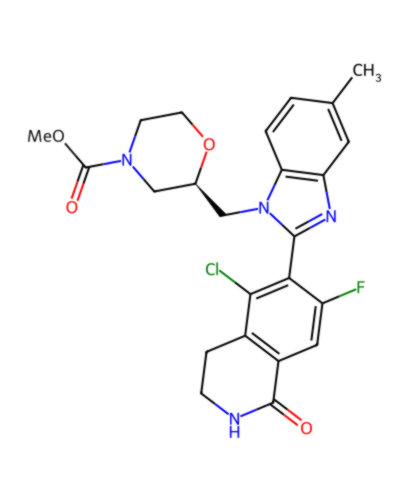 COC(=O)N1CCO[C@@H](Cn2c(-c3c(F)cc4c(c3Cl)CCNC4=O)nc3cc(C)ccc32)C1